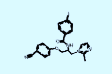 Cc1nccn1CC(COc1ccc(C#N)cc1)NC(=O)c1ccc(I)cc1